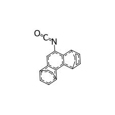 O=C=Nc1cc2c3ccc(cc3)c2c2c3ccc(cc3)c12